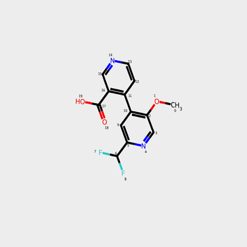 COc1cnc(C(F)F)cc1-c1ccncc1C(=O)O